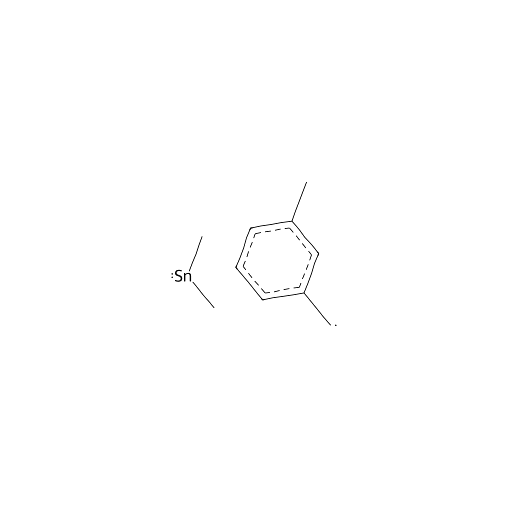 [CH2]c1cccc(C)c1.[CH3][Sn][CH3]